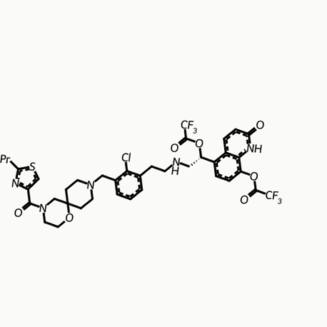 CC(C)c1nc(C(=O)N2CCOC3(CCN(Cc4cccc(CCNC[C@H](OC(=O)C(F)(F)F)c5ccc(OC(=O)C(F)(F)F)c6[nH]c(=O)ccc56)c4Cl)CC3)C2)cs1